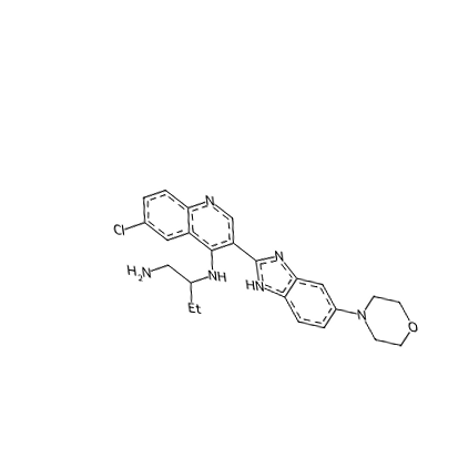 CCC(CN)Nc1c(-c2nc3cc(N4CCOCC4)ccc3[nH]2)cnc2ccc(Cl)cc12